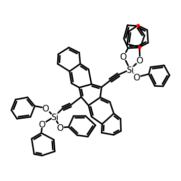 C(#C[Si](Oc1ccccc1)(Oc1ccccc1)Oc1ccccc1)c1c2cc3ccccc3cc2c(C#C[Si](Oc2ccccc2)(Oc2ccccc2)Oc2ccccc2)c2cc3ccccc3cc12